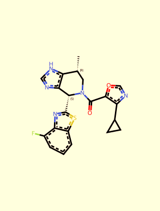 C[C@@H]1CN(C(=O)c2ocnc2C2CC2)[C@H](c2nc3c(F)cccc3s2)c2nc[nH]c21